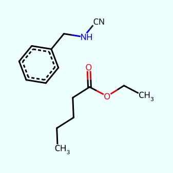 CCCCC(=O)OCC.N#CNCc1ccccc1